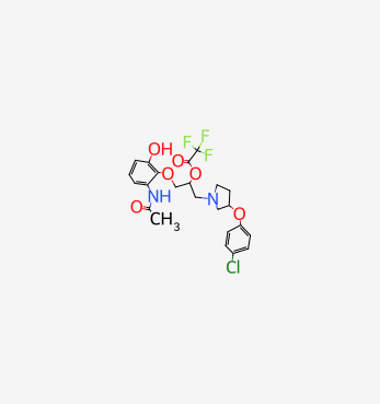 CC(=O)Nc1cccc(O)c1OCC(CN1CCC(Oc2ccc(Cl)cc2)C1)OC(=O)C(F)(F)F